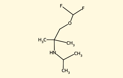 CC(C)NC(C)(C)COC(F)F